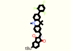 CN1c2ccc(/C=C3/C(=O)c4ccc(C(C)(C)C)cc4C3=O)cc2C(C)(C)c2cc(-c3c(F)cc(F)cc3F)ccc21